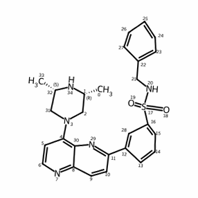 C[C@@H]1CN(c2ccnc3ccc(-c4cccc(S(=O)(=O)NCc5ccccc5)c4)nc23)C[C@H](C)N1